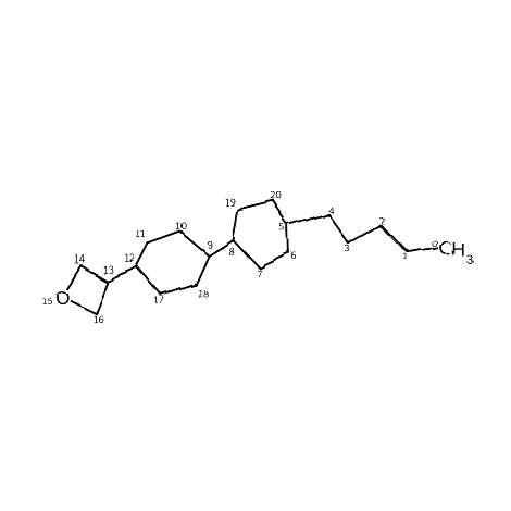 CCCCCC1CCC(C2CCC(C3COC3)CC2)CC1